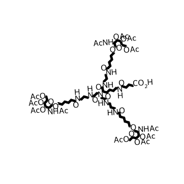 CC(=O)NC1C(OCCCCCC(=O)NCCCNC(=O)CN(CC(=O)NCCCNC(=O)CCCCCOC2OC(COC(C)=O)C(OC(C)=O)C(OC(C)=O)C2NC(C)=O)C(CCCCNC(=O)CCCC(=O)O)C(=O)NCCCNC(=O)CCCCCOC2OC(COC(C)=O)C(OC(C)=O)C(OC(C)=O)C2NC(C)=O)OC(COC(C)=O)C(OC(C)=O)C1OC(C)=O